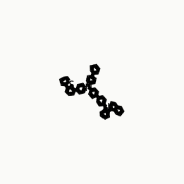 c1ccc(-c2ccc(N(c3ccc(-c4ccc(-n5c6ccccc6c6c7ccccc7ccc65)cc4)cc3)c3ccc(-c4cccc5c4sc4ccccc45)cc3)cc2)cc1